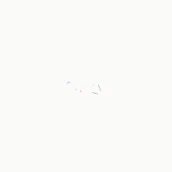 CC(C)N=C1SCN(c2ccc(OC(C)C)cc2)C(=O)N1C